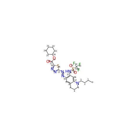 CCCCN1CCCc2cc(N=Nc3nnc(C(=O)OC4CCCCC4)s3)c(NS(=O)(=O)C(F)(F)F)cc21